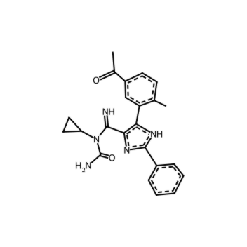 CC(=O)c1ccc(C)c(-c2[nH]c(-c3ccccc3)nc2C(=N)N(C(N)=O)C2CC2)c1